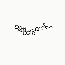 CCCCSC(=S)SCc1ccc(C(=O)Oc2ccc3ccc4c(c3c2)N=CC2(C4)N(C)c3ccccc3C2(C)C)cc1